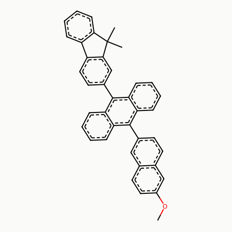 COc1ccc2cc(-c3c4ccccc4c(-c4ccc5c(c4)C(C)(C)c4ccccc4-5)c4ccccc34)ccc2c1